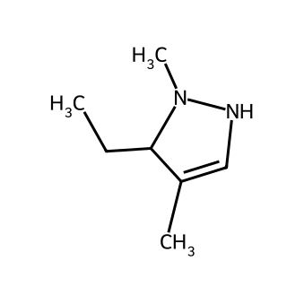 CCC1C(C)=CNN1C